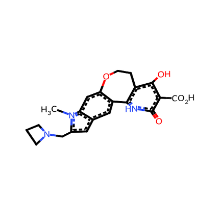 Cn1c(CN2CCC2)cc2cc3c(cc21)OCCc1c-3[nH]c(=O)c(C(=O)O)c1O